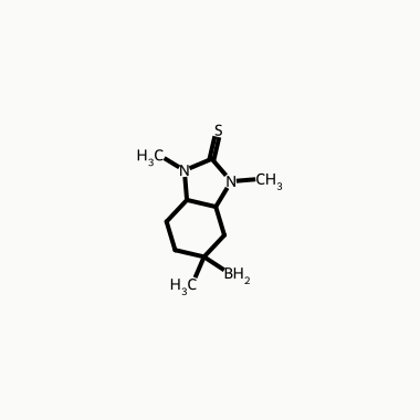 BC1(C)CCC2C(C1)N(C)C(=S)N2C